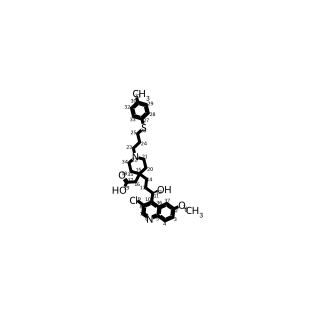 COc1ccc2ncc(Cl)c([C@H](O)CCC3(CC(=O)O)CCN(CCCSc4ccc(C)cc4)CC3)c2c1